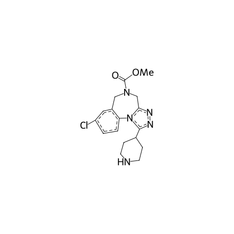 COC(=O)N1Cc2cc(Cl)ccc2-n2c(nnc2C2CCNCC2)C1